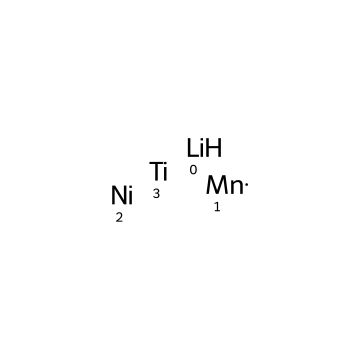 [LiH].[Mn].[Ni].[Ti]